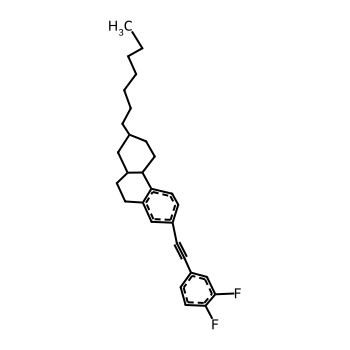 CCCCCCCC1CCC2c3ccc(C#Cc4ccc(F)c(F)c4)cc3CCC2C1